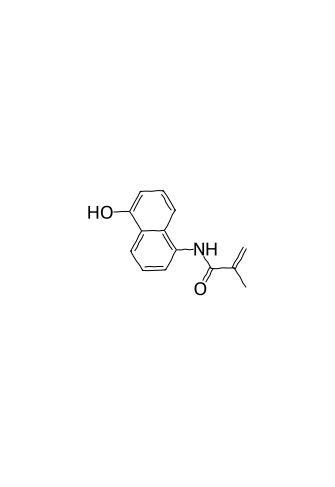 C=C(C)C(=O)Nc1cccc2c(O)cccc12